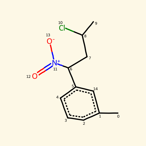 Cc1cccc(C(CC(C)Cl)[N+](=O)[O-])c1